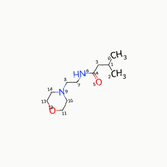 CC(C)CC(=O)NCCN1CCOCC1